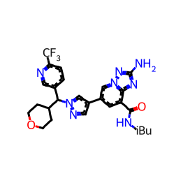 CCC(C)NC(=O)c1cc(-c2cnn(C(c3ccc(C(F)(F)F)nc3)C3CCOCC3)c2)cn2nc(N)nc12